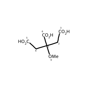 COC(CC(=O)O)(CC(=O)O)C(=O)O